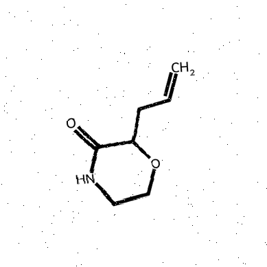 C=CCC1OCCNC1=O